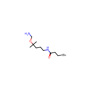 CC(C)(C)CCC(=O)NCCCC(C)(C)OCN